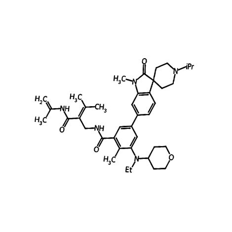 C=C(C)NC(=O)C(CNC(=O)c1cc(-c2ccc3c(c2)N(C)C(=O)C32CCN(C(C)C)CC2)cc(N(CC)C2CCOCC2)c1C)=C(C)C